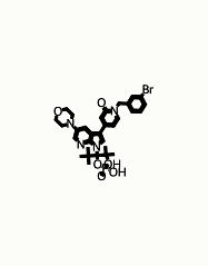 CC(C)(C)C(OP(=O)(O)O)(n1cc(-c2ccn(Cc3cccc(Br)c3)c(=O)c2)c2cc(N3CCOCC3)cnc21)C(C)(C)C